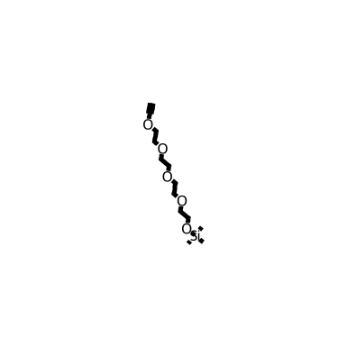 C#COCCOCCOCCOCCO[Si](C)(C)C